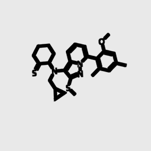 COc1cc(C)cc(C)c1-c1cccc2c(N(CC3CC3)C3CCCCC3=S)c(SC)nn12